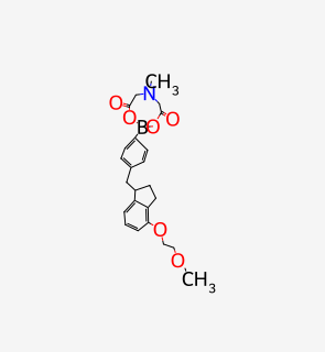 CCOCCOc1cccc2c1CCC2Cc1ccc(B2OC(=O)CN(C)CC(=O)O2)cc1